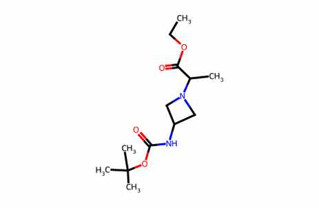 CCOC(=O)C(C)N1CC(NC(=O)OC(C)(C)C)C1